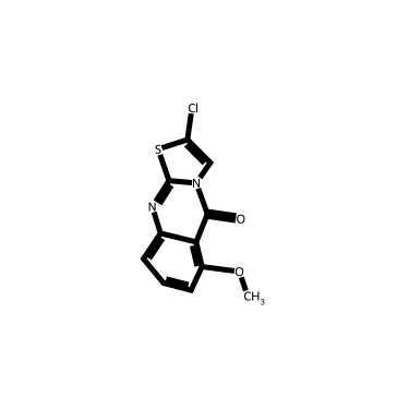 COc1cccc2nc3sc(Cl)cn3c(=O)c12